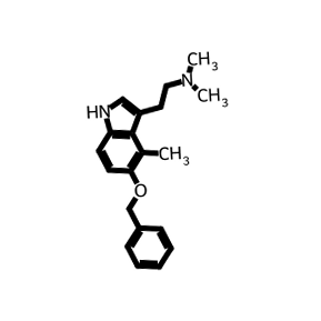 Cc1c(OCc2ccccc2)ccc2[nH]cc(CCN(C)C)c12